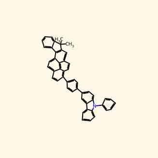 CC1(C)c2ccccc2-c2c1cc1ccc3c(-c4ccc(-c5ccc6c(c5)c5ccccc5n6-c5ccccc5)cc4)ccc4ccc2c1c43